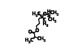 C=C(C)C(=O)OCCC[Si](C)(C)O[SiH](C)C